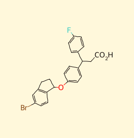 O=C(O)CC(c1ccc(F)cc1)c1ccc(OC2CCc3cc(Br)ccc32)cc1